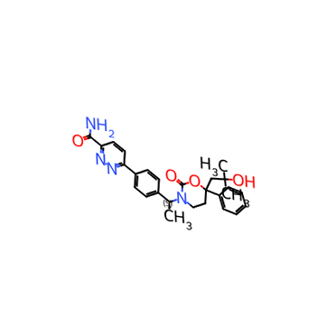 C[C@@H](c1ccc(-c2ccc(C(N)=O)nn2)cc1)N1CCC(CC(C)(C)O)(c2ccccc2)OC1=O